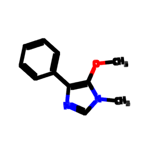 COc1c(-c2ccccc2)ncn1C